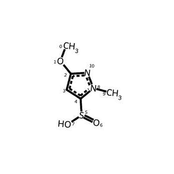 COc1cc(S(=O)O)n(C)n1